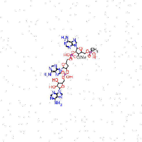 COC1C(COP(C)(=O)O)OC(n2cnc3c(N)ncnc32)C1OP(=O)(O)OCC1CC(OP(=O)(O)OCC2OC(n3cnc4c(N)ncnc43)C(O)C2O)C(n2cnc3c(N)ncnc32)O1